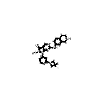 CC(C)n1c(=O)c2cnc(Nc3ccc4c(c3)CNCC4)nc2n1-c1ccnc(N2CC(F)(F)C2)c1